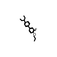 CCCOc1ccc(-c2ccc(C(CC)CC)cc2)cc1F